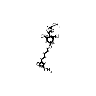 Cc1cc(CCCCCOc2cc(Cl)c(-c3nnc(C)o3)c(Cl)c2)on1